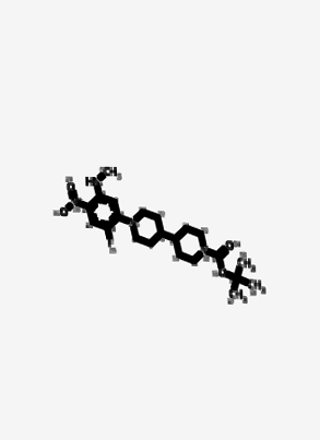 CNc1cc(N2CCC(C3CCN(C(=O)OC(C)(C)C)CC3)CC2)c(F)cc1[N+](=O)[O-]